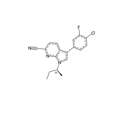 CC[C@H](C)n1cc(-c2ccc(Cl)c(F)c2)c2ccc(C#N)nc21